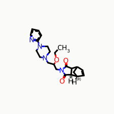 CCOC(CN1CCN(c2ccccn2)CC1)CN1C(=O)C2C3C=C[C@@H](C3)[C@@H]2C1=O